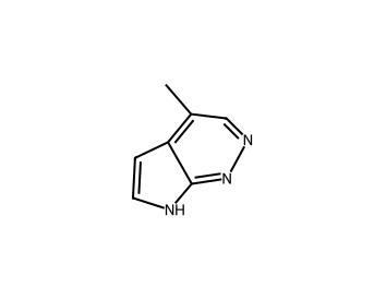 Cc1cnnc2[nH]ccc12